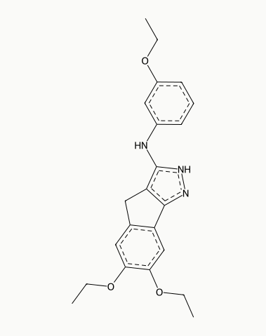 CCOc1cccc(Nc2[nH]nc3c2Cc2cc(OCC)c(OCC)cc2-3)c1